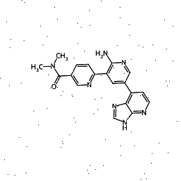 CN(C)C(=O)c1ccc(-c2cc(-c3ccnc4[nH]cnc34)cnc2N)nc1